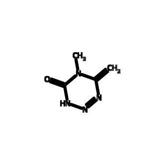 C=C1N=NNC(=O)N1C